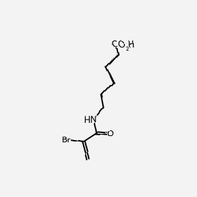 C=C(Br)C(=O)NCCCCCC(=O)O